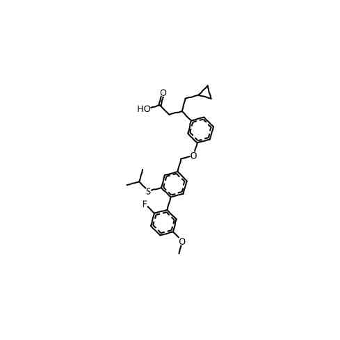 COc1ccc(F)c(-c2ccc(COc3cccc(C(CC(=O)O)CC4CC4)c3)cc2SC(C)C)c1